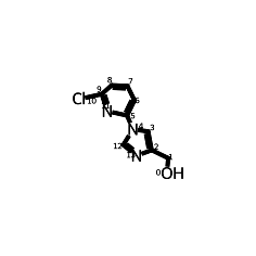 OCc1cn(-c2cccc(Cl)n2)cn1